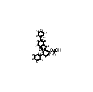 O=C(O)Oc1ccc(-c2ccccc2)cc1Cc1cc(-c2ccccc2)ccc1O